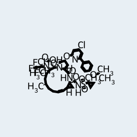 CC(C)Oc1ccc(-c2cc(Cl)cc(O[C@@H]3C[C@H]4C(=O)N[C@]5(C(=O)NS(=O)(=O)C6(C)CC6)C[C@H]5C=CCC[C@H](C)C[C@@H](C)[C@H](N(C(=O)O)C(C)(C)C(F)(F)F)C(=O)N4C3)n2)cc1